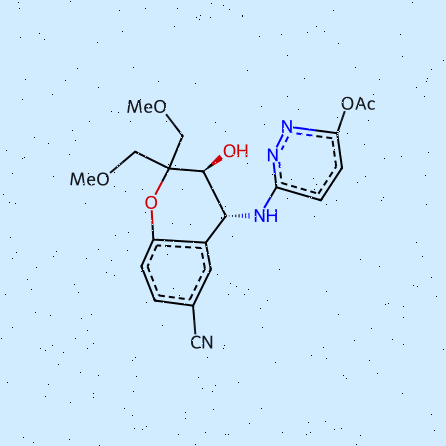 COCC1(COC)Oc2ccc(C#N)cc2[C@@H](Nc2ccc(OC(C)=O)nn2)[C@@H]1O